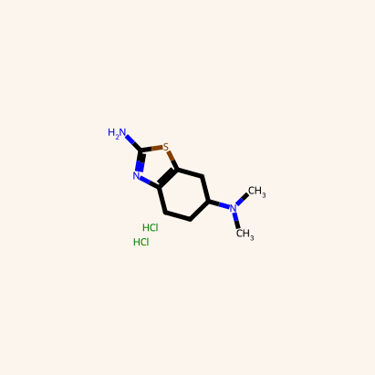 CN(C)C1CCc2nc(N)sc2C1.Cl.Cl